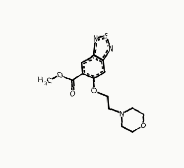 COC(=O)c1cc2nsnc2cc1OCCN1CCOCC1